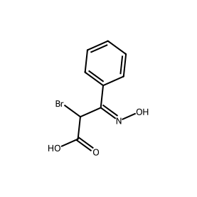 O=C(O)C(Br)/C(=N/O)c1ccccc1